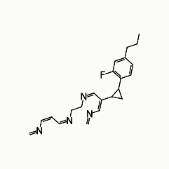 C=N/C=C\C=N/CC/N=C\C(=C/N=C)C1CC1c1ccc(CCC)cc1F